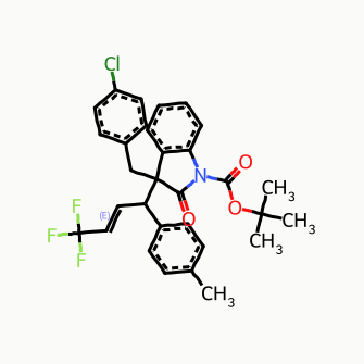 Cc1ccc(C(/C=C/C(F)(F)F)C2(Cc3ccc(Cl)cc3)C(=O)N(C(=O)OC(C)(C)C)c3ccccc32)cc1